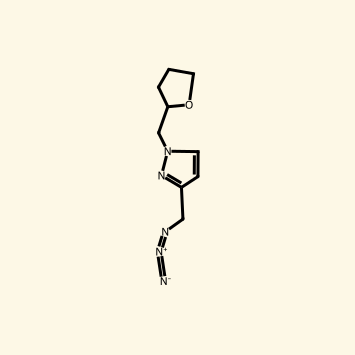 [N-]=[N+]=NCc1ccn(CC2CCCO2)n1